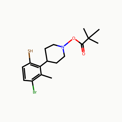 Cc1c(Br)ccc(S)c1C1CCN(OC(=O)C(C)(C)C)CC1